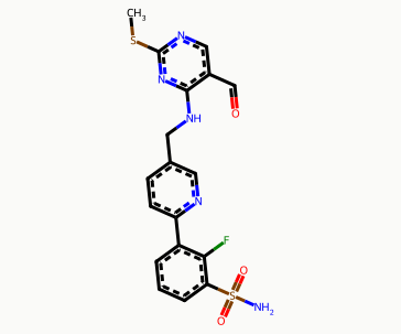 CSc1ncc(C=O)c(NCc2ccc(-c3cccc(S(N)(=O)=O)c3F)nc2)n1